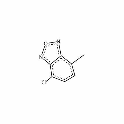 Cc1ccc(Cl)c2nonc12